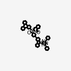 O=c1c2ccc(-c3ccc4c(c3)c3ccccc3n4-c3nc(-c4ccccc4)nc(-c4ccccc4)n3)cc2n2c(=O)c3ccccc3cc2n1-c1ccc2c3ccccc3c3ccccc3c2c1